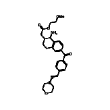 COCCOC(=O)CC1CCc2cc(C(=O)c3ccc(C=NN4CCOCC4)cc3)ccc2C1N